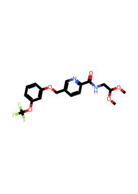 COC(CNC(=O)c1ccc(COc2cccc(OC(F)(F)F)c2)cn1)OC